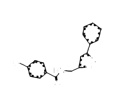 O=C(NCc1cc(-c2ccccc2)no1)c1ccc(Cl)cc1